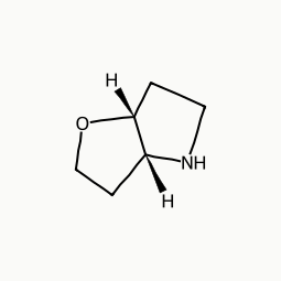 C1C[C@H]2OCC[C@H]2N1